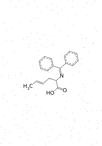 C/C=C/CC(N=C(c1ccccc1)c1ccccc1)C(=O)O